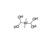 C[N+](C)(C(O)O)C(O)O